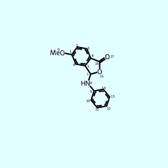 COc1ccc2c(c1)C(Nc1ccccc1)OC2=O